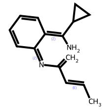 C=C(/C=C/C)/N=C1/C=CC=C/C1=C(/N)C1CC1